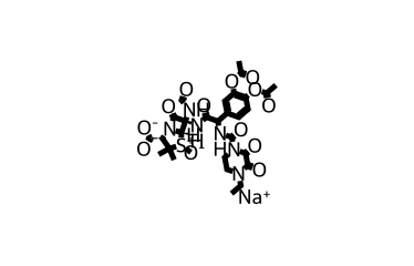 CCN1CCN(C(=O)NC(C(=O)N[C@]2(NC=O)C(=O)N3[C@@H](C(=O)[O-])C(C)(C)[S+]([O-])[C@@H]32)c2ccc(OC(C)=O)c(OC(C)=O)c2)C(=O)C1=O.[Na+]